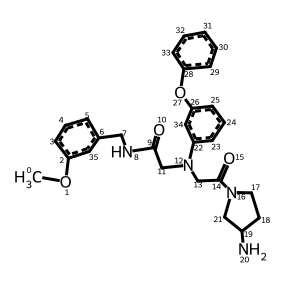 COc1cccc(CNC(=O)CN(CC(=O)N2CCC(N)C2)c2cccc(Oc3ccccc3)c2)c1